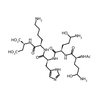 CC(=O)N[C@@H](CCC(N)O)C(=O)N[C@H](CCC(N)O)C(=O)N[C@@H](Cc1cnc[nH]1)C(=O)N[C@H](CCCCN)C(=O)N[C@@H](CC(=O)O)C(=O)O